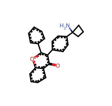 NC1(c2ccc(-c3c(-c4ccccc4)oc4ccccc4c3=O)cc2)CCC1